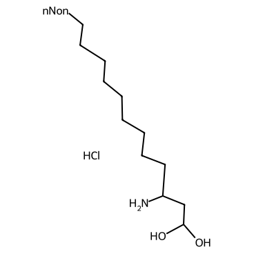 CCCCCCCCCCCCCCCCCCC(N)CC(O)O.Cl